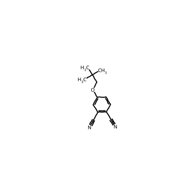 CC(C)(C)COc1ccc(C#N)c(C#N)c1